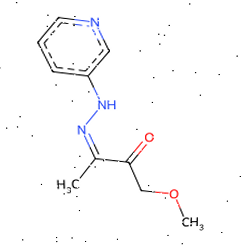 COCC(=O)/C(C)=N\Nc1cccnc1